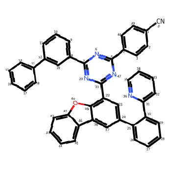 N#Cc1ccc(-c2nc(-c3cccc(-c4ccccc4)c3)nc(-c3cc(-c4ccccc4-c4ccccn4)cc4c3oc3ccccc34)n2)cc1